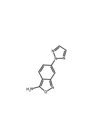 Nc1onc2cc(-n3nccn3)ccc12